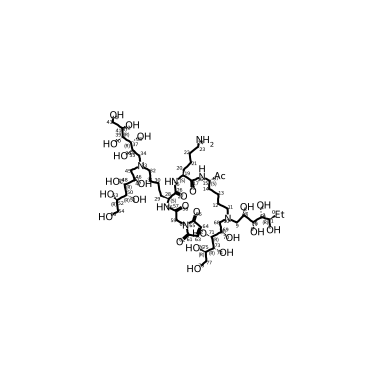 CC[C@@H](O)[C@@H](O)[C@H](O)[C@@H](O)CN(CCCC[C@H](NC(=O)[C@H](CCCCN)NC(=O)[C@H](CCCCN(C[C@H](O)[C@@H](O)[C@H](O)[C@H](O)CO)C[C@H](O)[C@@H](O)[C@H](O)[C@H](O)CO)NC(=O)CN1C(=O)C=CC1=O)C(C)=O)C[C@H](O)[C@@H](O)[C@H](O)[C@H](O)CO